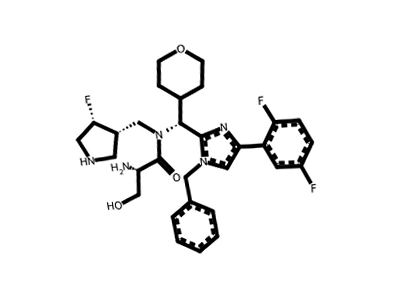 N[C@@H](CO)C(=O)N(C[C@@H]1CNC[C@@H]1F)[C@@H](c1nc(-c2cc(F)ccc2F)cn1Cc1ccccc1)C1CCOCC1